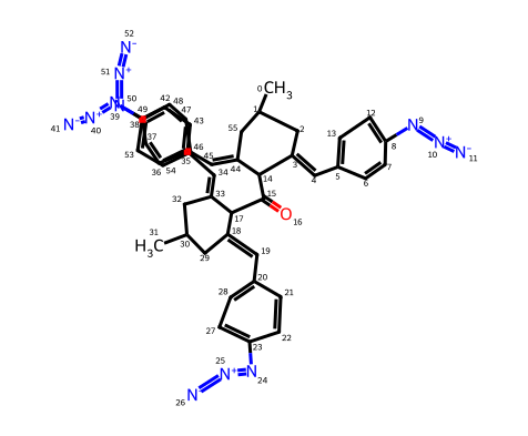 CC1CC(=Cc2ccc(N=[N+]=[N-])cc2)C(C(=O)C2C(=Cc3ccc(N=[N+]=[N-])cc3)CC(C)CC2=Cc2ccc(N=[N+]=[N-])cc2)C(=Cc2ccc(N=[N+]=[N-])cc2)C1